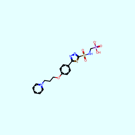 O=P([O-])(O)CNS(=O)(=O)c1nnc(-c2ccc(OCCC[n+]3ccccc3)cc2)s1